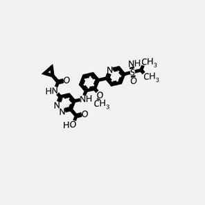 COc1c(Nc2cc(NC(=O)C3CC3)nnc2C(=O)O)cccc1-c1ccc(S(=N)(=O)C(C)C)cn1